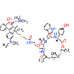 C/C1=C\CC[C@H](C)OC(=O)C[C@H](c2ccc(O)cc2)NC(=O)C(Cc2c[nH]c3ccccc23)N(C)C(=O)[C@H](COCCNC(=O)CCSCC[Si]2(C)C3=CC(=[N+](C)C)C=CC3=C(c3ccccc3C(=O)O)c3ccc(N(C)C)cc32)NC(=O)[C@@H](C)C1